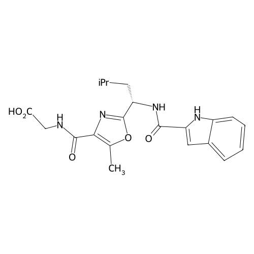 Cc1oc([C@H](CC(C)C)NC(=O)c2cc3ccccc3[nH]2)nc1C(=O)NCC(=O)O